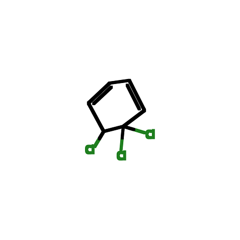 ClC1C=CC=CC1(Cl)Cl